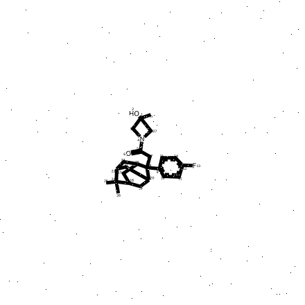 CC1(O)CN(C(=O)CC2(c3ccc(F)cc3)C3CC4CC2CC(C3)C4(C)C)C1